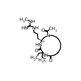 CCC1(CC)NC(=O)CCCCCCCN(C(C)=O)C[C@H](CCCNC(=N)NC)NC1=O